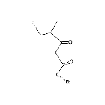 CCOC(=O)CC(=O)C(C)CF